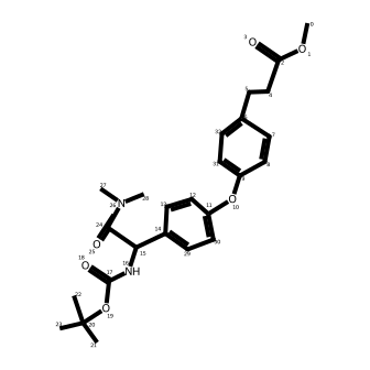 COC(=O)CCc1ccc(Oc2ccc(C(NC(=O)OC(C)(C)C)C(=O)N(C)C)cc2)cc1